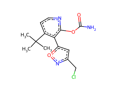 CC(C)(C)c1ccnc(OC(N)=O)c1-c1cc(CCl)no1